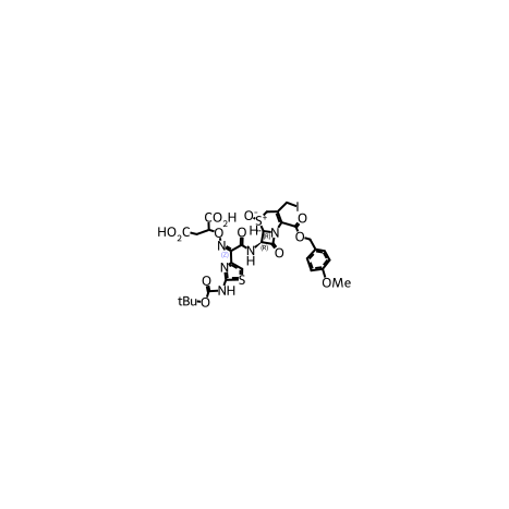 COc1ccc(COC(=O)C2=C(CI)C[S+]([O-])[C@@H]3[C@H](NC(=O)/C(=N\OC(CC(=O)O)C(=O)O)c4csc(NC(=O)OC(C)(C)C)n4)C(=O)N23)cc1